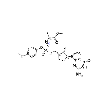 C=C1[C@H](COP(=O)(/C=N/[C@@H](C)C(=O)OC)Oc2ccc(OC)cc2)CC[C@@H]1n1cnc2c(=O)[nH]c(N)nc21